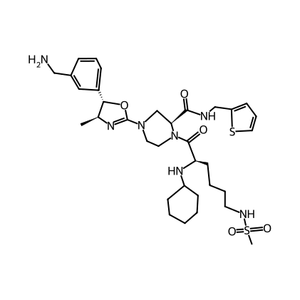 C[C@@H]1N=C(N2CCN(C(=O)[C@@H](CCCCNS(C)(=O)=O)NC3CCCCC3)[C@H](C(=O)NCc3cccs3)C2)O[C@H]1c1cccc(CN)c1